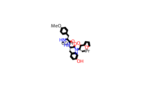 COc1ccc(C[C@H](NC(=O)O)C(=O)N[C@@H](Cc2ccc(O)cc2)C(=O)N[C@@H](CC(C)C)C(=O)c2ccco2)cc1